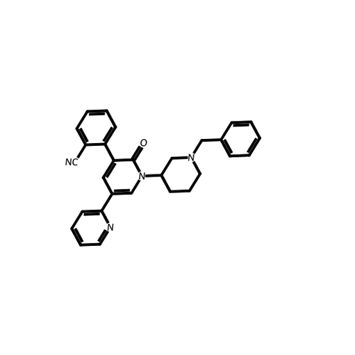 N#Cc1ccccc1-c1cc(-c2ccccn2)cn(C2CCCN(Cc3ccccc3)C2)c1=O